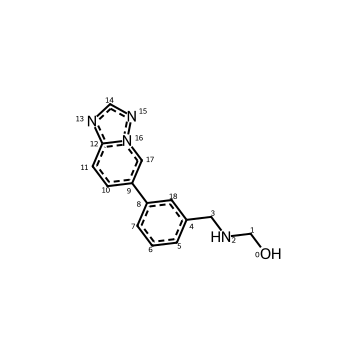 OCNCc1cccc(-c2ccc3ncnn3c2)c1